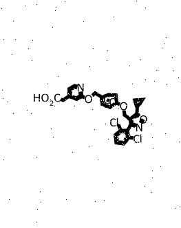 O=C(O)Cc1ccnc(OCC23CCC(OCc4c(-c5c(Cl)cccc5Cl)noc4C4CC4)(CC2)CC3)c1